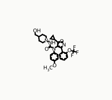 COc1ccc(N(C(=O)NN2CCC(CO)CC2)c2c(-c3ccccc3OC(F)(F)F)noc2C2CC2)cc1